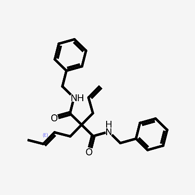 C=CCC(C/C=C/C)(C(=O)NCc1ccccc1)C(=O)NCc1ccccc1